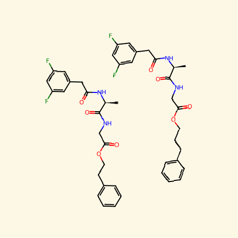 C[C@H](NC(=O)Cc1cc(F)cc(F)c1)C(=O)NCC(=O)OCCCc1ccccc1.C[C@H](NC(=O)Cc1cc(F)cc(F)c1)C(=O)NCC(=O)OCCc1ccccc1